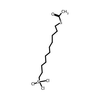 CC(=O)SCCCCCCCCCCC[Si](Cl)(Cl)Cl